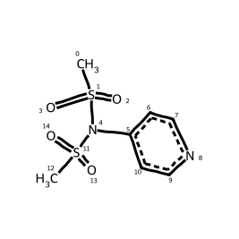 CS(=O)(=O)N(c1ccncc1)S(C)(=O)=O